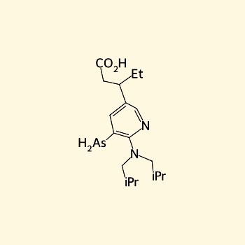 CCC(CC(=O)O)c1cnc(N(CC(C)C)CC(C)C)c([AsH2])c1